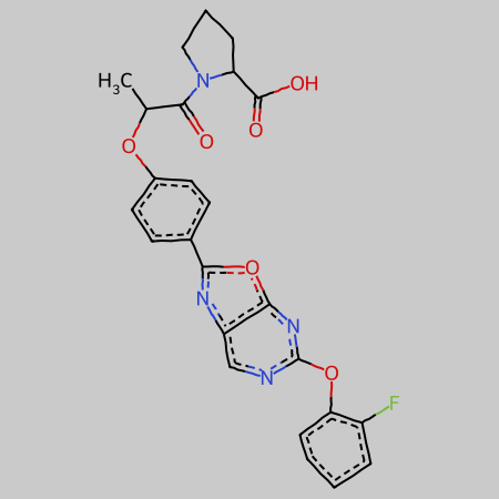 CC(Oc1ccc(-c2nc3cnc(Oc4ccccc4F)nc3o2)cc1)C(=O)N1CCCC1C(=O)O